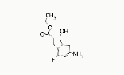 CCOC(=O)C1Cc2c(F)cc(N)cc2C1O